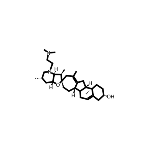 CC1=C2C[C@H]3C(CC=C4C[C@@H](O)CC[C@@]43C)[C@@H]2CC[C@@]2(C1)O[C@@H]1C[C@H](C)CN(CCN(C)C)[C@H]1[C@H]2C